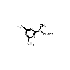 CCCCCN(C)c1nc(C)nc(N)n1